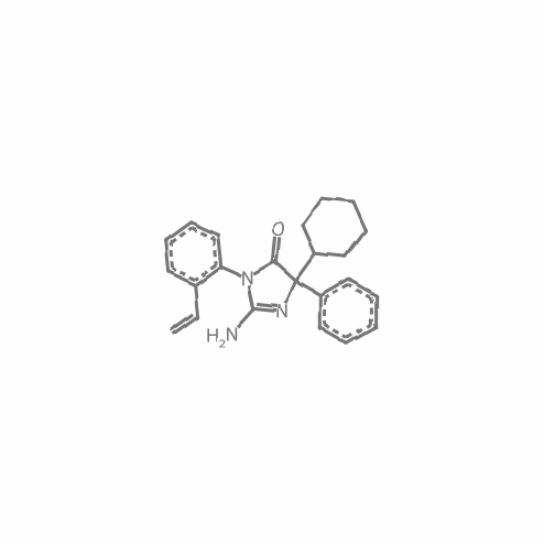 C=Cc1ccccc1N1C(=O)C(c2ccccc2)(C2CCCCC2)N=C1N